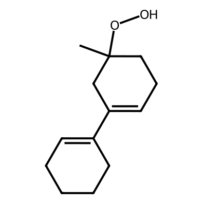 CC1(OO)CCC=C(C2=CCCCC2)C1